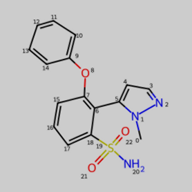 Cn1nccc1-c1c(Oc2ccccc2)cccc1S(N)(=O)=O